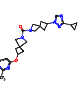 O=C(N1CC2(CC(Oc3ccnc(C(F)(F)F)n3)C2)C1)N1CC2(CC(n3cnc(C4CC4)n3)C2)C1